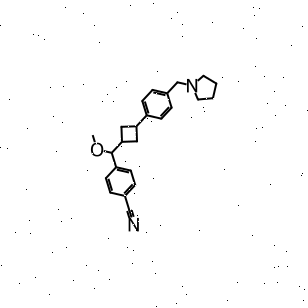 COC(c1ccc(C#N)cc1)C1CC(c2ccc(CN3CCCC3)cc2)C1